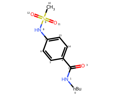 CCCCNC(=O)c1ccc(NS(C)(=O)=O)cc1